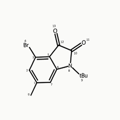 Cc1cc(Br)c2c(c1)N(C(C)(C)C)C(=O)C2=O